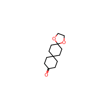 O=C1CCC2(CC1)CCC1(CC2)OCCO1